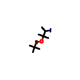 CC(I)C(C)(C)OSC(C)(C)C